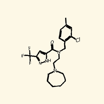 Cc1ccc(CN(CCN2CCCCCC2)C(=O)c2cc(C(F)(F)F)n[nH]2)c(Cl)c1